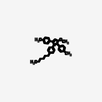 CCCCCCc1ccc(-n2c(-c3ccc(C)cc3)cc(OC)c2-c2ccc(C)cc2)cc1